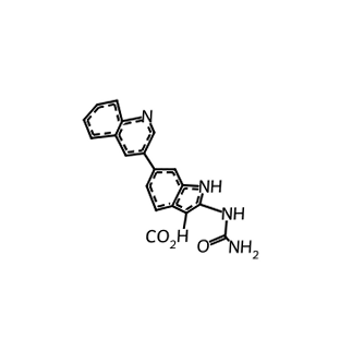 NC(=O)Nc1[nH]c2cc(-c3cnc4ccccc4c3)ccc2c1C(=O)O